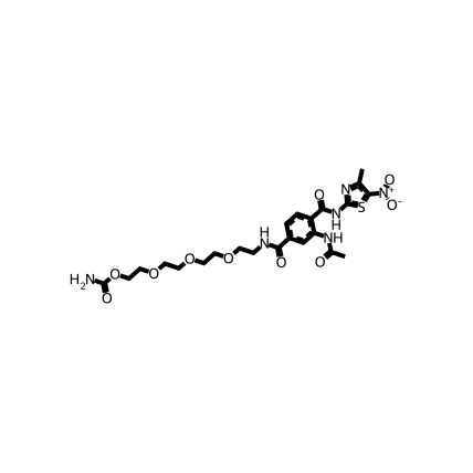 CC(=O)Nc1cc(C(=O)NCCOCCOCCOCCOC(N)=O)ccc1C(=O)Nc1nc(C)c([N+](=O)[O-])s1